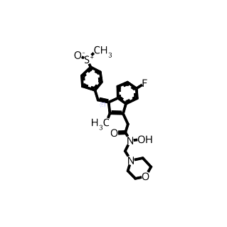 CC1=C(CC(=O)N(O)CN2CCOCC2)c2cc(F)ccc2/C1=C\c1ccc([S+](C)[O-])cc1